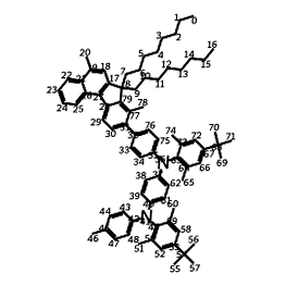 CCCCCCCCC1(CCCCCCCC)c2cc(C)c3ccccc3c2-c2ccc(-c3ccc(N(c4ccc(N(c5ccc(C)cc5)c5c(C)cc(C(C)(C)C)cc5C)cc4)c4c(C)cc(C(C)(C)C)cc4C)cc3)c(C)c21